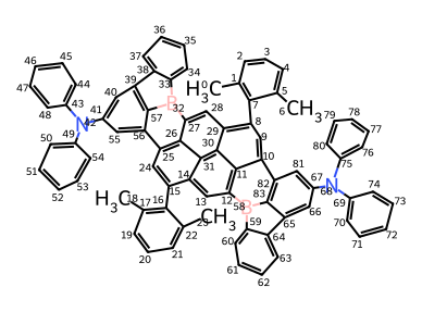 Cc1cccc(C)c1-c1cc2c3c(cc4c(-c5c(C)cccc5C)cc5c6c(cc1c3c46)B1c3ccccc3-c3cc(N(c4ccccc4)c4ccccc4)cc-5c31)B1c3ccccc3-c3cc(N(c4ccccc4)c4ccccc4)cc-2c31